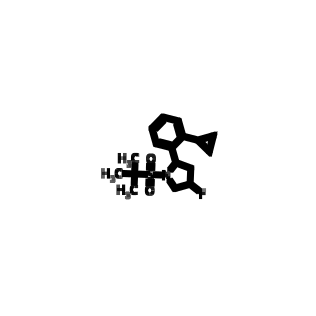 CC(C)(C)S(=O)(=O)N1CC(F)CC1c1ccccc1C1CC1